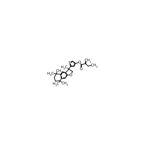 C=C(CC)C(=O)Oc1csc(C2(C)COc3cc4c(cc32)C(C)(C)CCC4(C)C)c1